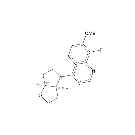 COc1ccc2c(N3CC[C@@H]4OCC[C@@H]43)ncnc2c1F